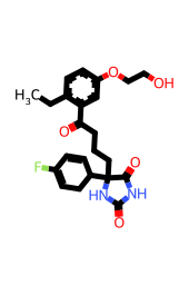 CCc1ccc(OCCO)cc1C(=O)CCCC1(C2C=CC(F)=CC2)NC(=O)NC1=O